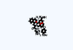 CC(C)(C)c1ccc(Oc2cccc(CN(C(=O)c3cccc(C(=N)N)c3)C(Cc3cccc4ccccc34)C(=O)NCC(N)=O)c2)cc1